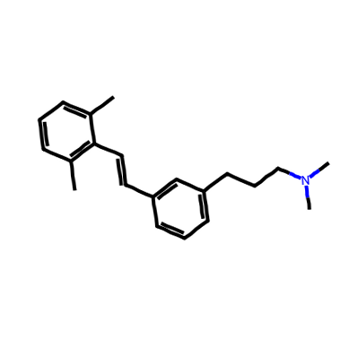 Cc1cccc(C)c1/C=C/c1cccc(CCCN(C)C)c1